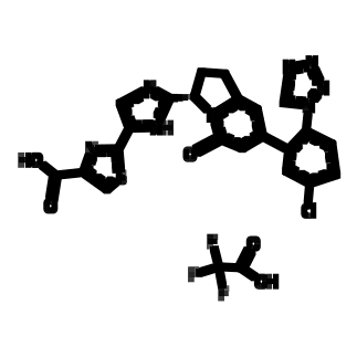 O=C(O)C(F)(F)F.O=C(O)c1csc(-c2cnc([C@@H]3CCc4cc(-c5cc(Cl)ccc5-n5cnnn5)cc(=O)n43)[nH]2)n1